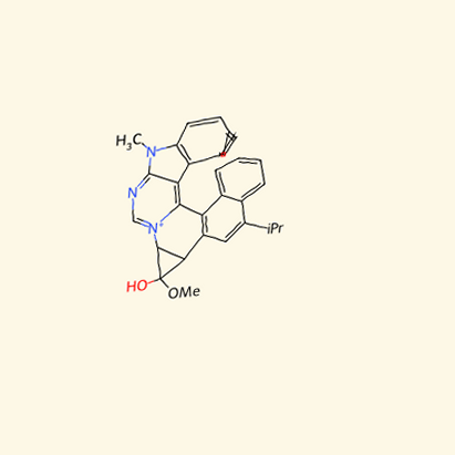 COC1(O)C2c3cc(C(C)C)c4ccccc4c3-c3c4c5c6ccccc6ccc5n(C)c4nc[n+]3C21